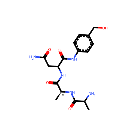 CC(N)C(=O)N[C@@H](C)C(=O)NC(CC(N)=O)C(=O)Nc1ccc(CO)cc1